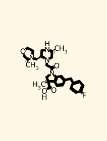 C[C@@H]1CN(CC(=O)N2C[C@@](C)(C(=O)O)c3ccc(Cc4ccc(F)cc4)cc32)[C@@H](CN2CCOC[C@H]2C)CN1